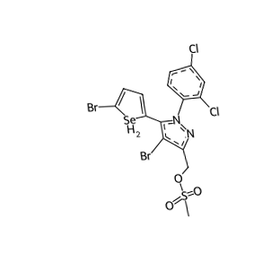 CS(=O)(=O)OCc1nn(-c2ccc(Cl)cc2Cl)c(C2=CC=C(Br)[SeH2]2)c1Br